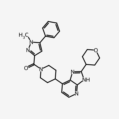 Cn1nc(C(=O)N2CCC(c3ccnc4[nH]c(C5CCOCC5)nc34)CC2)cc1-c1ccccc1